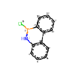 ClP1Nc2ccccc2-c2ccccc21